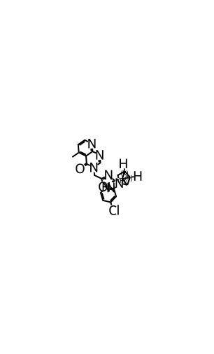 Cc1ccnc2ncn(Cc3nc([C@@]45C6[C@H]4[C@H]5CN6c4cc(Cl)ccn4)no3)c(=O)c12